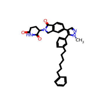 Cn1ncc(-c2ccc3c(c2)CN(C2CCC(=O)NC2=O)C3=O)c1-c1cccc(CCCCCCc2ccccc2)c1